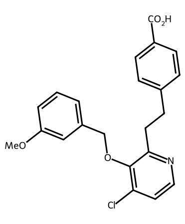 COc1cccc(COc2c(Cl)ccnc2CCc2ccc(C(=O)O)cc2)c1